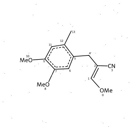 COC=C(C#N)Cc1cc(OC)c(OC)cc1C